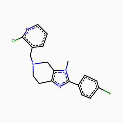 Cn1c(-c2ccc(F)cc2)nc2c1CN(Cc1cccnc1Cl)CC2